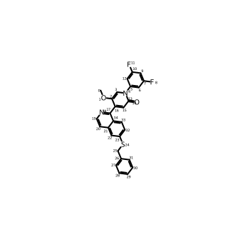 COc1cn(-c2cc(F)cc(F)c2)c(=O)cc1-c1nccc2cc(SCc3ccccc3)ccc12